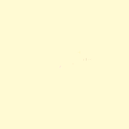 CCCCCC(S)OC/C=C(\C)CCC=C(C)C